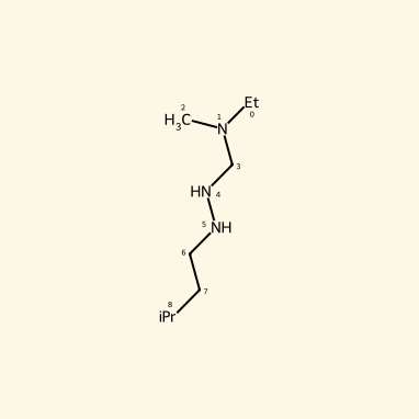 CCN(C)CNNCCC(C)C